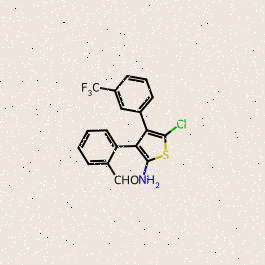 Nc1sc(Cl)c(-c2cccc(C(F)(F)F)c2)c1-c1ccccc1C=O